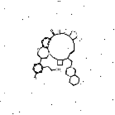 CCCc1cc(Cl)ccc1C1COc2ccc3cc2N(C1)CC1CCC1C(CN1CCN2CCCCC2C1)/C=C/CC(C)C(C)SNC3=O